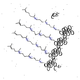 CC(C)=CCC/C(C)=C/CC/C(C)=C/CC/C(C)=C/COP(=O)([O-])OP(=O)([O-])[O-].CC(C)=CCC/C(C)=C/CC/C(C)=C/CC/C(C)=C/COP(=O)([O-])OP(=O)([O-])[O-].CC(C)=CCC/C(C)=C/CC/C(C)=C/CC/C(C)=C/COP(=O)([O-])OP(=O)([O-])[O-].CC(C)=CCC/C(C)=C/CC/C(C)=C/CC/C(C)=C/COP(=O)([O-])OP(=O)([O-])[O-].[C+4].[C+4].[C+4]